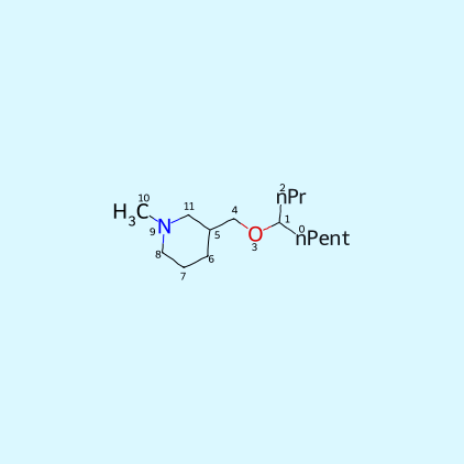 CCCCCC(CCC)OCC1CCCN(C)C1